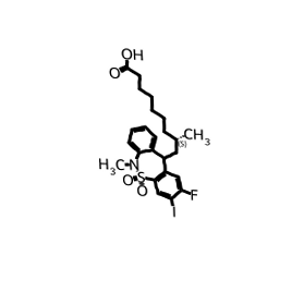 C[C@@H](CCCCCCC(=O)O)CC1c2ccccc2N(C)S(=O)(=O)c2cc(I)c(F)cc21